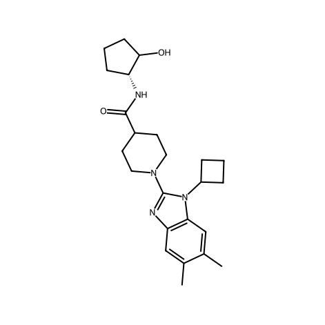 Cc1cc2nc(N3CCC(C(=O)N[C@@H]4CCCC4O)CC3)n(C3CCC3)c2cc1C